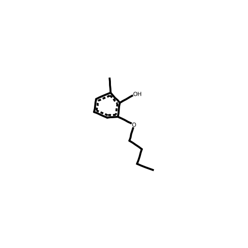 CCCCOc1cccc(C)c1O